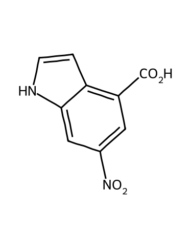 O=C(O)c1cc([N+](=O)[O-])cc2[nH]ccc12